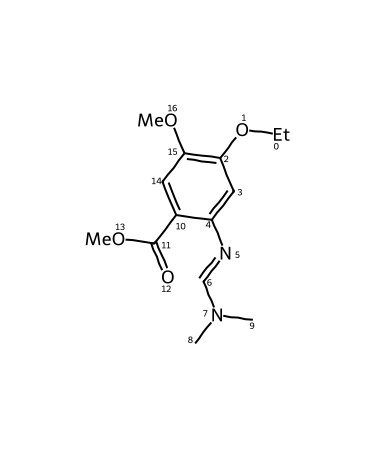 CCOc1cc(N=CN(C)C)c(C(=O)OC)cc1OC